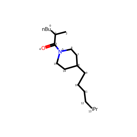 CCCCC(C)C(=O)N1CCC(CCCCC(C)C)CC1